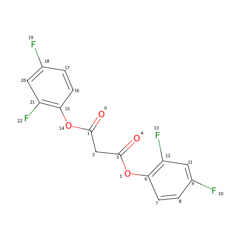 O=C(CC(=O)Oc1ccc(F)cc1F)Oc1ccc(F)cc1F